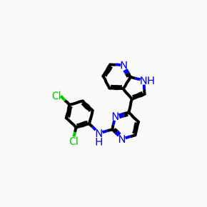 Clc1ccc(Nc2nccc(-c3c[nH]c4ncccc34)n2)c(Cl)c1